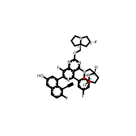 C#Cc1c(F)ccc2cc(O)cc(-c3nc(-c4cccc(F)c4)c4c(N5C[C@H]6CC[C@@H](C5)N6)nc(OC[C@@]56CCCN5C[C@H](F)C6)nc4c3F)c12